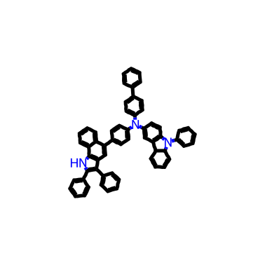 C1=CC2c3cc(N(c4ccc(-c5ccccc5)cc4)c4ccc(-c5cc6c(-c7ccccc7)c(-c7ccccc7)[nH]c6c6ccccc56)cc4)ccc3N(c3ccccc3)C2C=C1